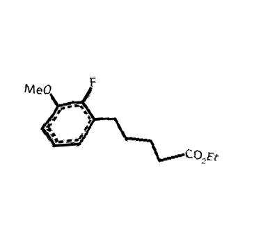 CCOC(=O)CCCCc1cccc(OC)c1F